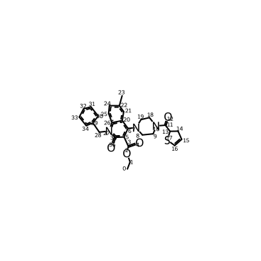 CCOC(=O)c1c(N2CCN(C(=O)C3CC=CS3)CC2)c2cc(C)ccc2n(Cc2ccccc2)c1=O